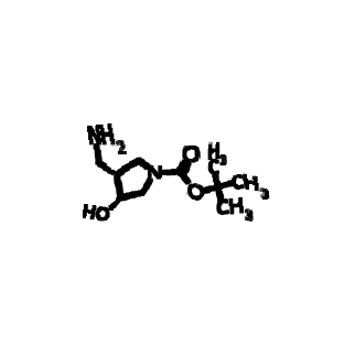 CC(C)(C)OC(=O)N1C[C@H](CN)[C@H](O)C1